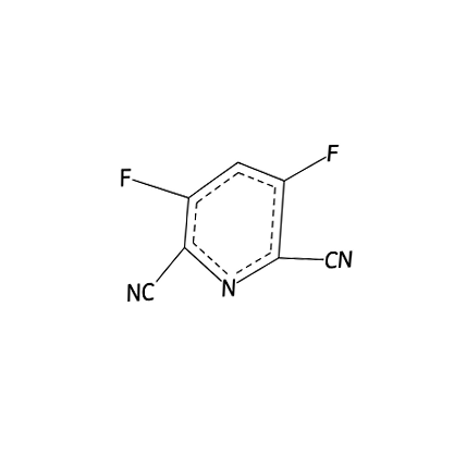 N#Cc1nc(C#N)c(F)cc1F